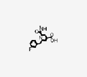 CNC(=O)c1cc(C(=O)O)cc(Cc2cccc(F)c2)n1